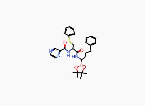 CC1(C)OB(C(CCCc2ccccc2)NC(=O)C(CSc2ccccc2)NC(=O)c2cnccn2)OC1(C)C